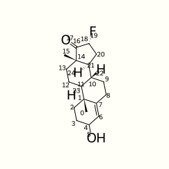 C[C@]12CCC(O)C=C1CC[C@@H]1[C@@H]2CC[C@]2(C)C(=O)[C@H](F)C[C@@H]12